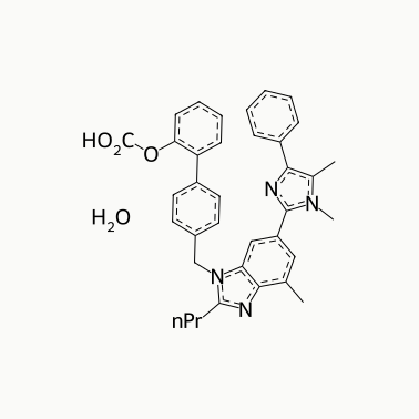 CCCc1nc2c(C)cc(-c3nc(-c4ccccc4)c(C)n3C)cc2n1Cc1ccc(-c2ccccc2OC(=O)O)cc1.O